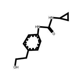 O=C(Nc1ccc(CCO)cc1)NC1CC1